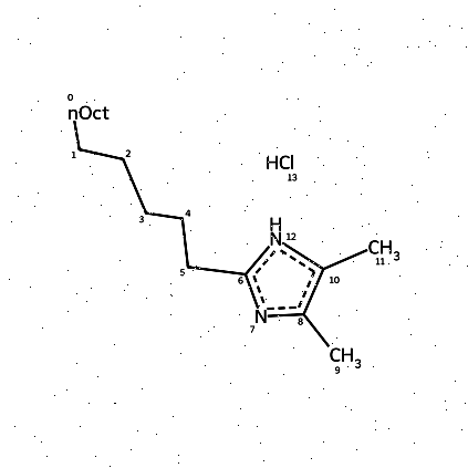 CCCCCCCCCCCCCc1nc(C)c(C)[nH]1.Cl